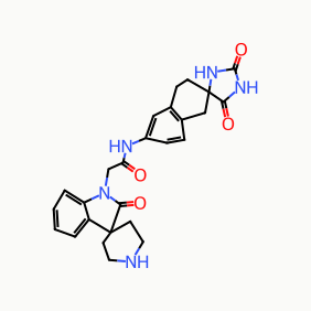 O=C(CN1C(=O)C2(CCNCC2)c2ccccc21)Nc1ccc2c(c1)CCC1(C2)NC(=O)NC1=O